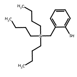 CCCC[Si](CCCC)(CCCC)Cc1ccccc1S